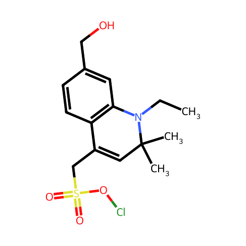 CCN1c2cc(CO)ccc2C(CS(=O)(=O)OCl)=CC1(C)C